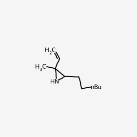 C=CC1(C)NC1CCCCCC